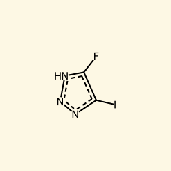 Fc1[nH]nnc1I